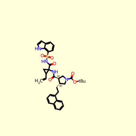 C=CC1CC1(NC(=O)[C@H]1CN(C(=O)OC(C)(C)C)C[C@@H]1CCc1cccc2ccccc12)C(=O)NS(=O)(=O)c1cccc2cc[nH]c12